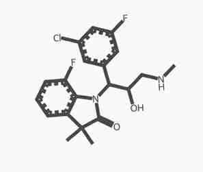 CNCC(O)C(c1cc(F)cc(Cl)c1)N1C(=O)C(C)(C)c2cccc(F)c21